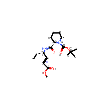 CC[C@@H](/C=C/C(=O)OC)NC(=O)[C@@H]1CCCCN1C(=O)OC(C)(C)C